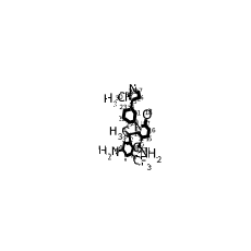 C[C@H](c1cc(N)cc(C(F)(F)F)c1)c1c(C(N)=O)ccc(=O)n1-c1cccc(-c2ccnn2C)c1